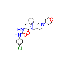 O=C(Nc1ccc(Cl)cc1)N[C@H](Cc1ccccc1)C(=O)NCC1CCN(C2CCOCC2)CC1